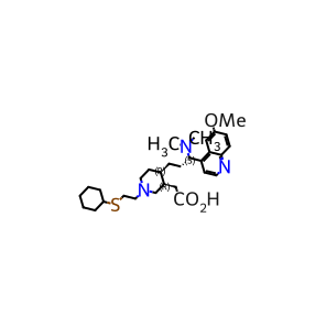 COc1ccc2nccc([C@H](CC[C@@H]3CCN(CCSC4CCCCC4)C[C@@H]3CC(=O)O)N(C)C)c2c1